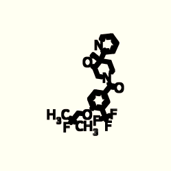 CC(C)(F)COc1ccc(C(=O)N2CCC3(c4ccccn4)COC3C2)cc1C(F)(F)F